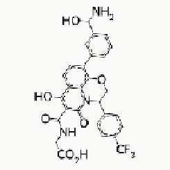 NC(O)c1cccc(-c2ccc3c(O)c(C(=O)NCC(=O)O)c(=O)n4c3c2OCC4c2ccc(C(F)(F)F)cc2)c1